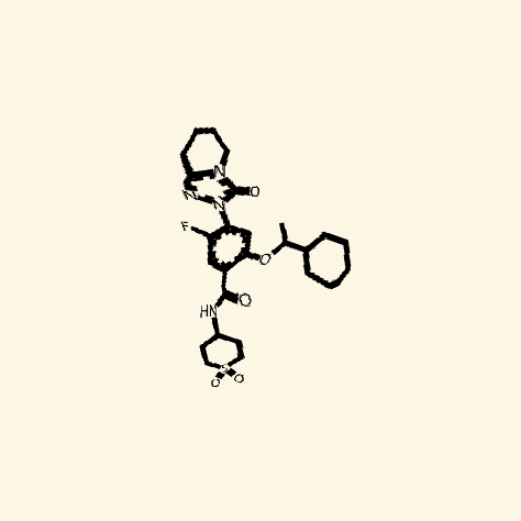 CC(Oc1cc(-n2nc3n(c2=O)CCCC3)c(F)cc1C(=O)NC1CCS(=O)(=O)CC1)C1CCCCC1